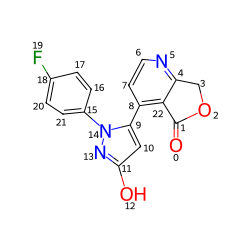 O=C1OCc2nccc(-c3cc(O)nn3-c3ccc(F)cc3)c21